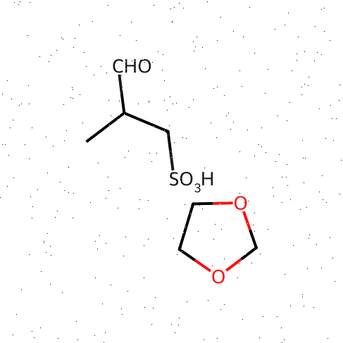 C1COCO1.CC(C=O)CS(=O)(=O)O